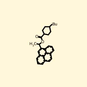 CCC(C)C1CCC(C(=O)OC(C)c2cc3cccc4ccc5cccc2c5c43)CC1